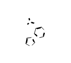 N=S(=O)=O.c1cncnc1.c1cscn1